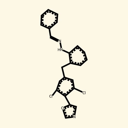 Clc1cc(Cc2ccccc2NN=Cc2ccccc2)cc(Cl)c1-c1cnco1